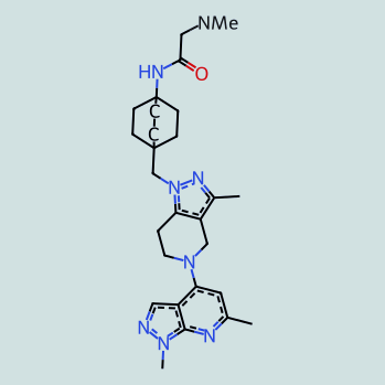 CNCC(=O)NC12CCC(Cn3nc(C)c4c3CCN(c3cc(C)nc5c3cnn5C)C4)(CC1)CC2